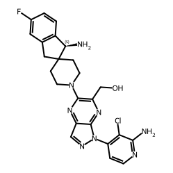 Nc1nccc(-n2ncc3nc(N4CCC5(CC4)Cc4cc(F)ccc4[C@H]5N)c(CO)nc32)c1Cl